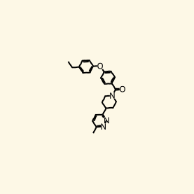 CCc1ccc(Oc2ccc(C(=O)N3CCC(c4ccc(C)nn4)CC3)cc2)cc1